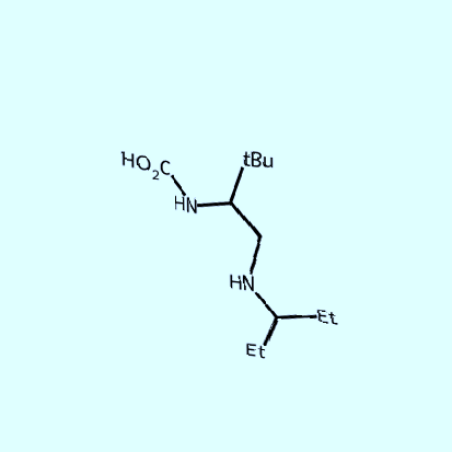 CCC(CC)NCC(NC(=O)O)C(C)(C)C